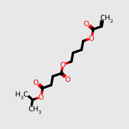 C=CC(=O)OCCCCOC(=O)CCC(=O)OC(C)C